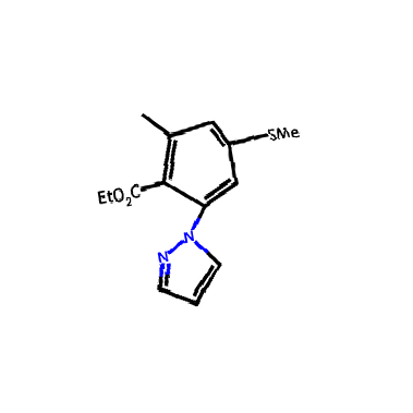 CCOC(=O)c1c(C)cc(SC)cc1-n1cccn1